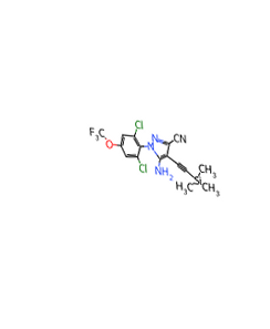 C[Si](C)(C)C#Cc1c(C#N)nn(-c2c(Cl)cc(OC(F)(F)F)cc2Cl)c1N